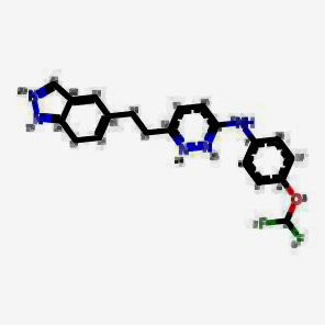 FC(F)Oc1ccc(Nc2ccc(CCC3=CCC4=NN=CC4=C3)nn2)cc1